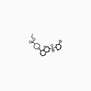 CCOC(=O)C1CCN(c2cccc3cc(S(=O)(=O)c4cccc(Br)c4)cnc23)CC1